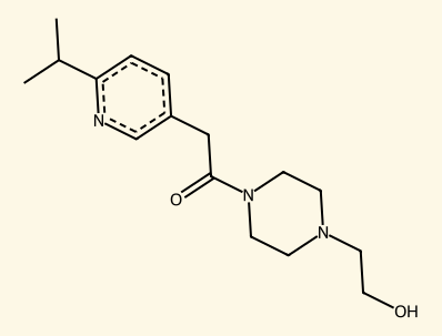 CC(C)c1ccc(CC(=O)N2CCN(CCO)CC2)cn1